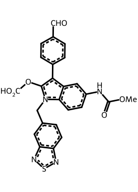 COC(=O)Nc1ccc2c(c1)c(-c1ccc(C=O)cc1)c(OC(=O)O)n2Cc1ccc2nsnc2c1